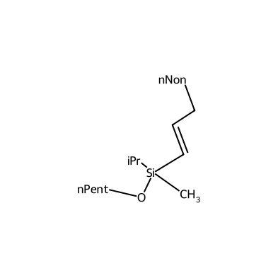 CCCCCCCCCCC=C[Si](C)(OCCCCC)C(C)C